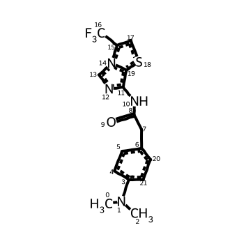 CN(C)c1ccc(CC(=O)Nc2ncn3c(C(F)(F)F)csc23)cc1